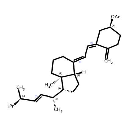 C=C1CC[C@H](OC(C)=O)C/C1=C/C=C1\CCC[C@]2(C)[C@@H]([C@H](C)/C=C/[C@H](C)C(C)C)CC[C@@H]12